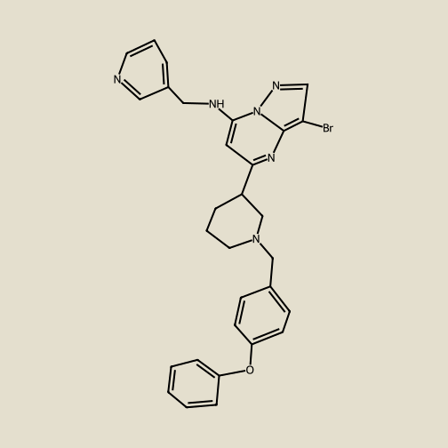 Brc1cnn2c(NCc3cccnc3)cc(C3CCCN(Cc4ccc(Oc5ccccc5)cc4)C3)nc12